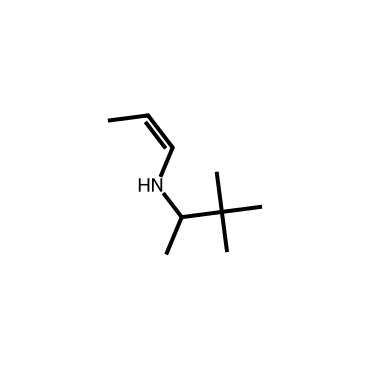 C/C=C\NC(C)C(C)(C)C